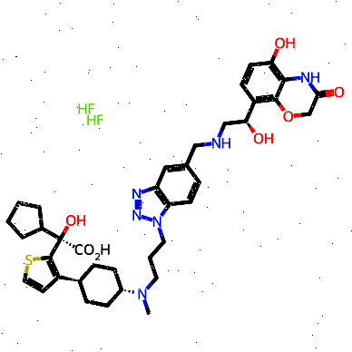 CN(CCCn1nnc2cc(CNC[C@H](O)c3ccc(O)c4c3OCC(=O)N4)ccc21)[C@H]1CC[C@H](c2ccsc2[C@@](O)(C(=O)O)C2CCCC2)CC1.F.F